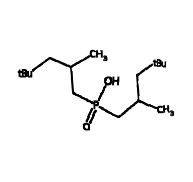 CC(CC(C)(C)C)CP(=O)(O)CC(C)CC(C)(C)C